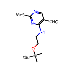 CSc1ncc(C=O)c(NCCO[Si](C)(C)C(C)(C)C)n1